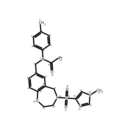 Cc1ccc(N(Cc2ccc3c(c2)CN(S(=O)(=O)c2cn(C)cn2)CCO3)C(=O)C(C)C)cc1